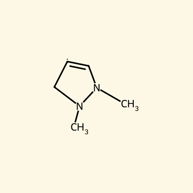 CN1C=[C]CN1C